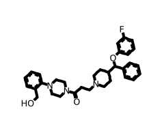 O=C(CCN1CCC(C(Oc2cccc(F)c2)c2ccccc2)CC1)N1CCN(c2ccccc2CO)CC1